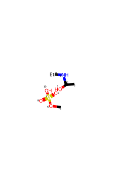 CCNC(C)O.COS(=O)(=O)O